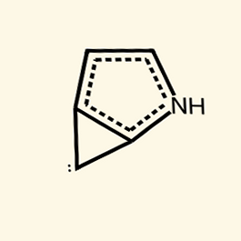 [C]1c2cc[nH]c21